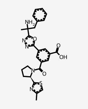 Cc1csc([C@H]2CCCN2C(=O)c2cc(C(=O)O)cc(-c3nnc(C(C)(N)Cc4ccccc4)o3)c2)n1